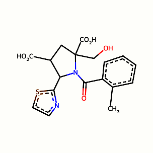 Cc1ccccc1C(=O)N1C(c2nccs2)C(C(=O)O)CC1(CO)C(=O)O